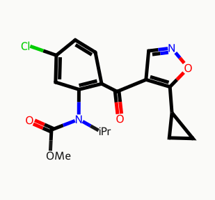 COC(=O)N(c1cc(Cl)ccc1C(=O)c1cnoc1C1CC1)C(C)C